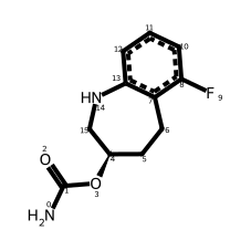 NC(=O)O[C@@H]1CCc2c(F)cccc2NC1